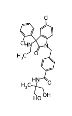 CCNC1(c2ccccc2Cl)C(=O)N(Cc2ccc(C(=O)NC(C)(CO)CO)cc2)c2ccc(Cl)cc21